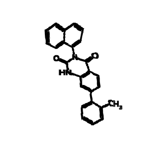 Cc1ccccc1-c1ccc2c(=O)n(-c3cccc4ccccc34)c(=O)[nH]c2c1